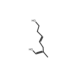 CC(=CO)CC=CCCO